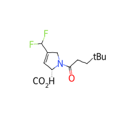 CC(C)(C)CCC(=O)N1CC(C(F)F)=C[C@H]1C(=O)O